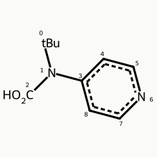 CC(C)(C)N(C(=O)O)c1ccncc1